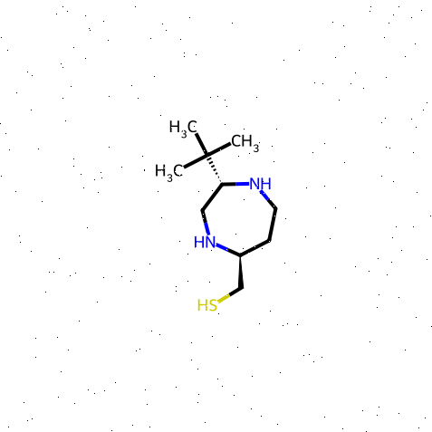 CC(C)(C)[C@H]1CN[C@H](CS)CCN1